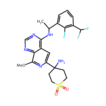 COc1nc(C2(N)CCS(=O)(=O)CC2)cc2c(NC(C)c3cccc(C(F)F)c3F)ncnc12